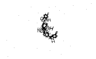 O=C(Nc1cc(F)ccc1Cl)N1CCC(O)(C(O)CN2CCC(c3c[nH]c4ccc(F)cc34)CC2)CC1